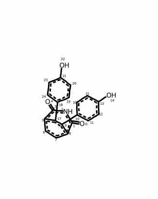 O=c1[nH]c(=O)c2ccc1c(-c1ccc(O)cc1)c2-c1ccc(O)cc1